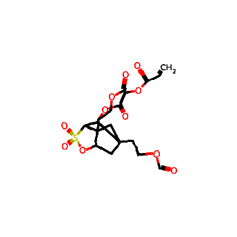 C=CC(=O)OCC(=O)OC1C2C3(CCOC=O)CC1(CCOC=O)CC3OS2(=O)=O